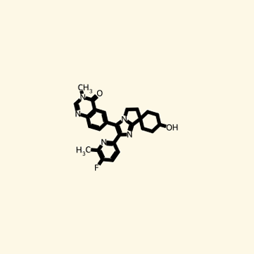 Cc1nc(-c2nc3n(c2-c2ccc4ncn(C)c(=O)c4c2)CCC32CCC(O)CC2)ccc1F